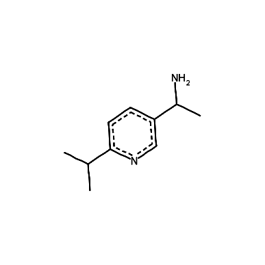 CC(C)c1ccc(C(C)N)cn1